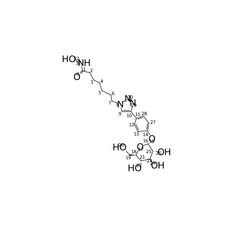 O=C(CCCCCCn1cc(-c2ccc(O[C@H]3O[C@H](CO)[C@@H](O)[C@H](O)[C@H]3O)cc2)nn1)NO